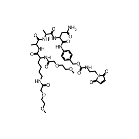 COCCOCC(=O)NCCCCC(NC(=O)COCCOC)C(=O)NC(C)C(=O)NC(C)C(=O)NC(CC(N)=O)C(=O)Nc1ccc(COC(=O)NCCN2C(=O)C=CC2=O)cc1